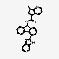 Cn1cc(C(=O)NC2c3ccccc3-c3c(-c4nc5ccncc5[nH]4)cccc32)c2cccnc21